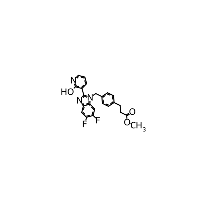 COC(=O)CCc1ccc(Cn2c(-c3cccnc3O)nc3cc(F)c(F)cc32)cc1